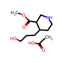 CC(=O)O.COC(=O)C1CNCCC1CCCO